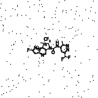 Cc1nnc(C(F)F)cc1NC(=O)N1C[C@@](C)(C(F)(F)F)c2c1cnc1cc(F)nn21